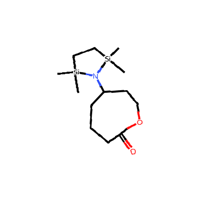 C[Si]1(C)CC[Si](C)(C)N1C1CCCC(=O)OCC1